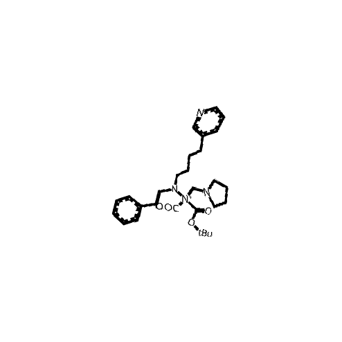 CC(C)(C)OC(=O)[N+](CN1CCCC1)(C(=O)[O-])N(CCCCc1cccnc1)CCc1ccccc1